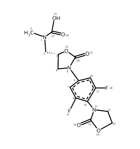 CN(C[C@H]1CN(c2cc(F)c(N3CCOC3=O)c(F)c2)C(=O)O1)C(=O)O